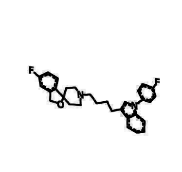 Fc1ccc(-n2cc(CCCCN3CCC4(CC3)OCc3cc(F)ccc34)c3ccccc32)cc1